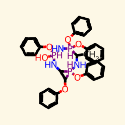 CC1N[PH]2(Oc3ccccc3)C(N[PH](O)(Oc3ccccc3)N[PH]1(Oc1ccccc1)Oc1ccccc1)C2Oc1ccccc1